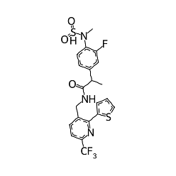 CC(C(=O)NCc1ccc(C(F)(F)F)nc1-c1cccs1)c1ccc(N(C)[SH](=O)=O)c(F)c1